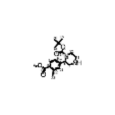 COC(=O)c1ccc(C2CNCCN2C(=O)OC(C)(C)C)cc1C